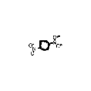 CON(OC)c1ccc([N+](=O)[O-])cc1